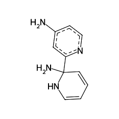 Nc1ccnc(C2(N)C=CC=CN2)c1